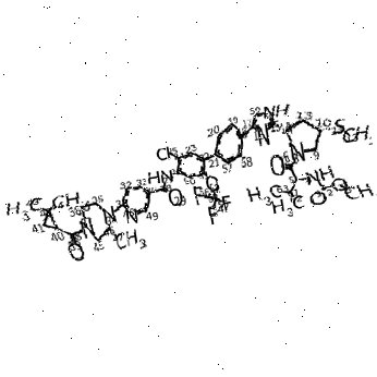 COC(=O)N[C@H](C(=O)N1C[C@@H](SC)C[C@H]1c1nc(-c2ccc(-c3cc(Cl)c(NC(=O)c4ccc(N5CCN(C(=O)[C@H]6CC6(C)C)C[C@H]5C)nc4)cc3OC(F)(F)F)cc2)c[nH]1)C(C)C